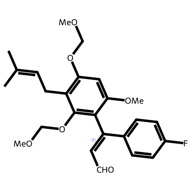 COCOc1cc(OC)c(/C(=C/C=O)c2ccc(F)cc2)c(OCOC)c1CC=C(C)C